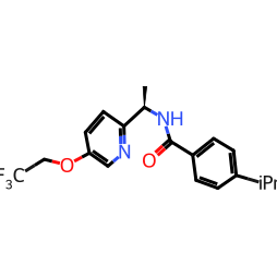 CC(C)c1ccc(C(=O)N[C@H](C)c2ccc(OCC(F)(F)F)cn2)cc1